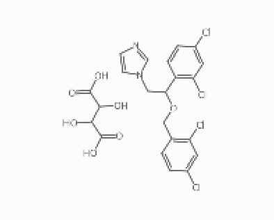 Clc1ccc(COC(Cn2ccnc2)c2ccc(Cl)cc2Cl)c(Cl)c1.O=C(O)C(O)C(O)C(=O)O